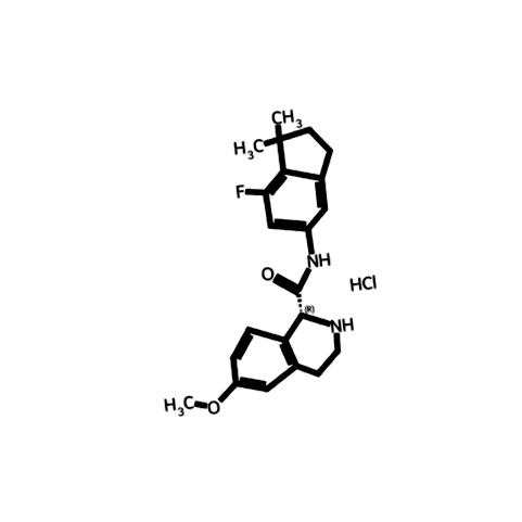 COc1ccc2c(c1)CCN[C@H]2C(=O)Nc1cc(F)c2c(c1)CCC2(C)C.Cl